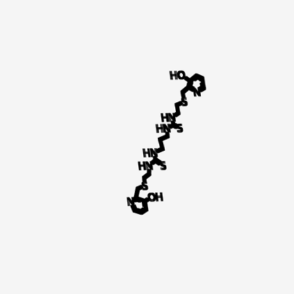 Oc1cccnc1CSCCNC(=S)NCCCNC(=S)NCCSCc1ncccc1O